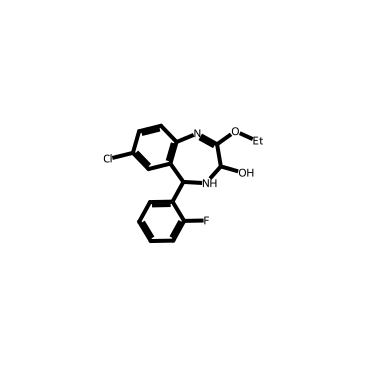 CCOC1=Nc2ccc(Cl)cc2C(c2ccccc2F)NC1O